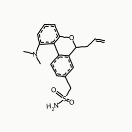 C=CCC1Oc2cccc(N(C)C)c2-c2ccc(CS(N)(=O)=O)cc21